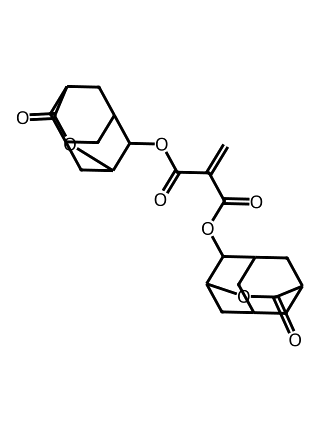 C=C(C(=O)OC1C2CC3CC(C2)C(=O)OC1C3)C(=O)OC1C2CC3CC(C2)C(=O)OC1C3